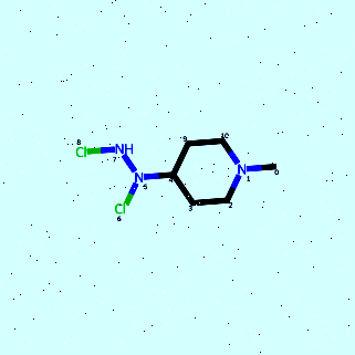 CN1CCC(N(Cl)NCl)CC1